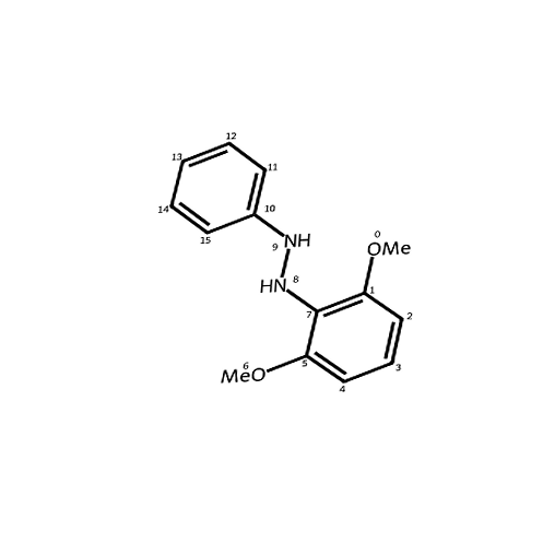 COc1cccc(OC)c1NNc1ccccc1